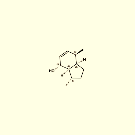 C[C@@H]1C=C[C@@H](O)[C@H]2[C@@H]1CC[C@@H]2C